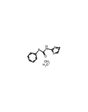 O.O.O=C([B]c1ccccc1)Nc1nccs1